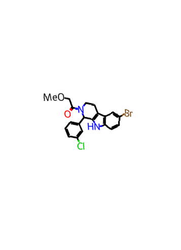 COCC(=O)N1CCc2c([nH]c3ccc(Br)cc23)C1c1cccc(Cl)c1